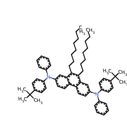 CCCCCCCCc1c(CCCCCCCC)c2cc(N(c3ccccc3)c3ccc(C(C)(C)C)cc3)ccc2c2ccc(N(c3ccccc3)c3ccc(C(C)(C)C)cc3)cc12